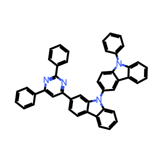 c1ccc(-c2cc(-c3ccc4c5ccccc5n(-c5ccc6c(c5)c5ccccc5n6-c5ccccc5)c4c3)nc(-c3ccccc3)n2)cc1